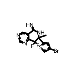 CC1(c2cc(Br)cs2)NC(=N)c2cncnc2C1(F)F